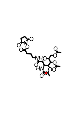 CC(=O)NC1C(C(=O)NCCCC(=O)ON2C(=O)CCC2=O)OC(COC(C)=O)C(OC(C)=O)C1OC(C)=O